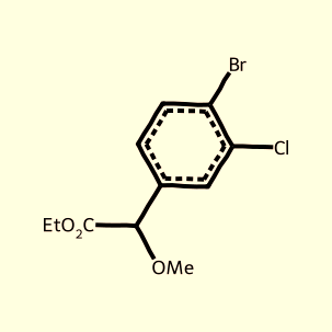 CCOC(=O)C(OC)c1ccc(Br)c(Cl)c1